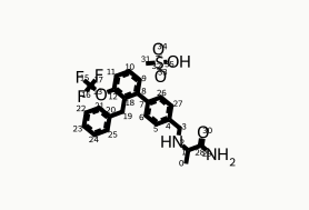 CC(NCc1ccc(-c2cccc(OC(F)(F)F)c2Cc2ccccc2)cc1)C(N)=O.CS(=O)(=O)O